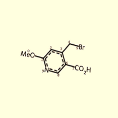 COc1cc(CBr)c(C(=O)O)cn1